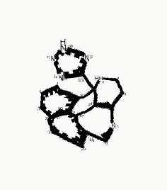 C1=NC2CCNC(c3ccccc3)(c3nn[nH]n3)C2c2ccccc21